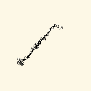 CC(C)(C)OC(=O)NCCCOCCOCCOCCCNC(=O)c1cc2ccc(OCC(=O)NCCOCCOCCOCCOCCC(=O)O)cc2oc1=O